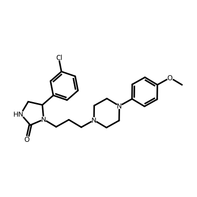 COc1ccc(N2CCN(CCCN3C(=O)NCC3c3cccc(Cl)c3)CC2)cc1